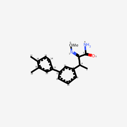 CON=C(C(N)=O)C(C)c1cccc(-c2ccc(C)c(C)c2)c1